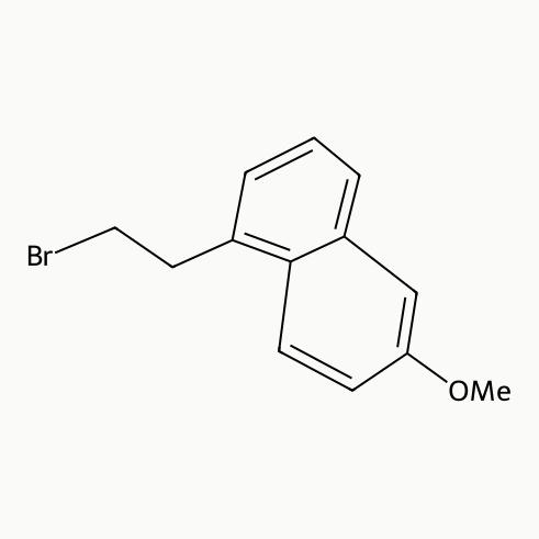 COc1ccc2c(CCBr)cccc2c1